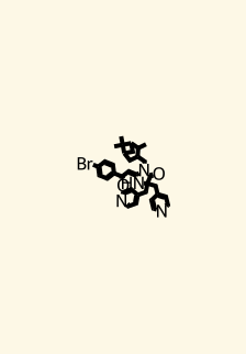 CC1C(CN2C(=O)C(Cc3ccncc3)(Cc3ccncc3)NC2=CC(=O)c2ccc(Br)cc2)CC2CC1C2(C)C